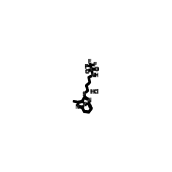 Cc1nc2cccc3nc(SCCCCNS(=O)(=O)C(F)(F)F)c1n23.Cl